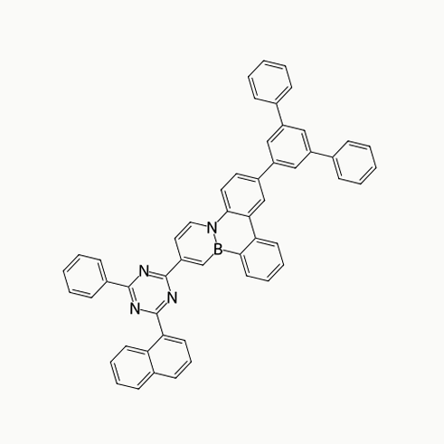 C1=CN2B(C=C1c1nc(-c3ccccc3)nc(-c3cccc4ccccc34)n1)c1ccccc1-c1cc(-c3cc(-c4ccccc4)cc(-c4ccccc4)c3)ccc12